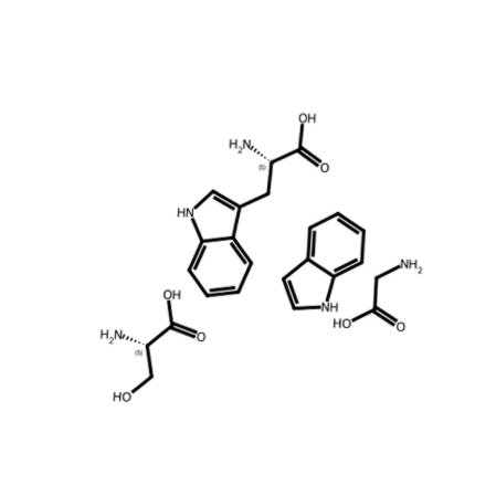 NCC(=O)O.N[C@@H](CO)C(=O)O.N[C@@H](Cc1c[nH]c2ccccc12)C(=O)O.c1ccc2[nH]ccc2c1